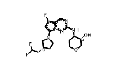 O[C@@H]1COCC[C@H]1Nc1ncc2c(F)cc(N3CC[C@H](CC(F)F)C3)n2n1